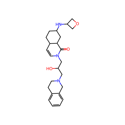 O=C1C2CC(NC3COC3)CCC2C=CN1CC(O)CN1CCc2ccccc2C1